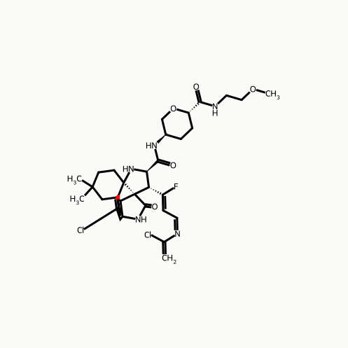 C=C(Cl)/N=C\C=C(/F)[C@H]1[C@H](C(=O)N[C@@H]2CC[C@@H](C(=O)NCCOC)OC2)NC2(CCC(C)(C)CC2)[C@@]12C(=O)Nc1cc(Cl)ccc12